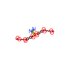 C=CC(=O)COCCCCCOC(=O)C1CCC(C2CCC(C(=O)Oc3ccc(OC(=O)C4CCC(C5CCC(C(=O)OCCCCCCOC(=O)C=C)CC5)CC4)c4c3SC(=C(C#N)C#N)S4)CC2)CC1